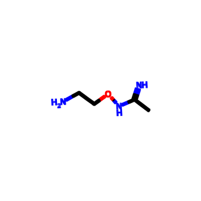 CC(=N)NOCCN